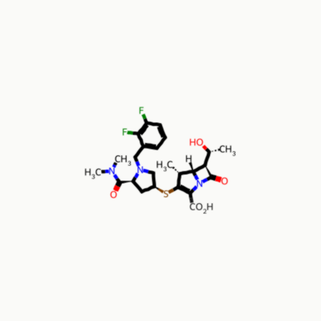 C[C@@H](O)[C@H]1C(=O)N2C(C(=O)O)=C(S[C@H]3C[C@@H](C(=O)N(C)C)N(Cc4cccc(F)c4F)C3)[C@H](C)[C@H]12